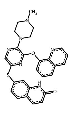 CN1CCN(c2ncc(Sc3ccc4ccc(=O)[nH]c4c3)nc2Oc2cccc3cccnc23)CC1